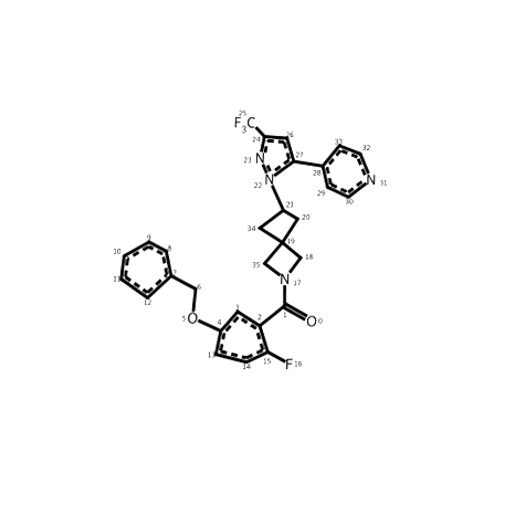 O=C(c1cc(OCc2ccccc2)ccc1F)N1CC2(CC(n3nc(C(F)(F)F)cc3-c3ccncc3)C2)C1